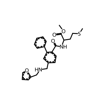 COC(=O)C(CCSC)NC(=O)c1ccc(CNCc2ccco2)cc1-c1ccccc1